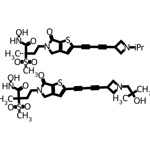 CC(C)(O)CN1CC(C#CC#Cc2cc3c(s2)C(=O)N(CCC(C)(C(=O)NO)S(C)(=O)=O)C3)C1.CC(C)N1CC(C#CC#Cc2cc3c(s2)C(=O)N(CC[C@](C)(C(=O)NO)S(C)(=O)=O)C3)C1